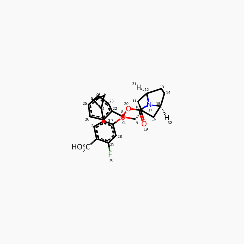 O=C(O)c1cc(C2CC2)c(OC[C@@H]2C[C@H]3CC[C@@H](C2)N3C(=O)OCc2ccccc2)cc1F